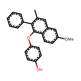 COc1ccc2c(Oc3ccc(O)cc3)c(-c3ccccc3)c(C)cc2c1